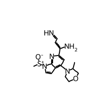 CC1COCCN1c1cc(/C(N)=C/C=N)nc2c1ccn2[S+](C)[O-]